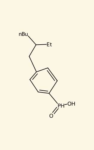 CCCCC(CC)Cc1ccc([PH](=O)O)cc1